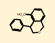 O=C(O)c1cccc2c1C(c1ccccc1)COC2